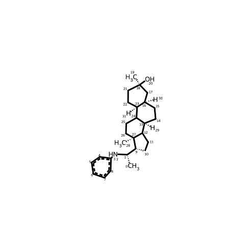 C[C@H](Nc1ccccc1)[C@H]1CCC2[C@@H]3CC[C@@H]4C[C@](C)(O)CC[C@@H]4C3CC[C@@]21C